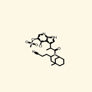 CC(C(=O)N1C(CCC#N)CC2(C)CCCC1C2)c1c[nH]c2ncc(OS(C)(=O)=O)c(Cl)c12